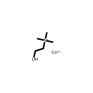 C[N+](C)(C)CCO.[Co+2]